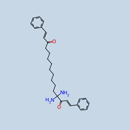 NC(N)(CCCCCCCCCC(=O)/C=C/c1ccccc1)C(=O)/C=C/c1ccccc1